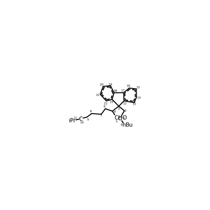 CCCCOCC1(C(C=O)CCCCCC(C)C)c2ccccc2-c2ccccc21